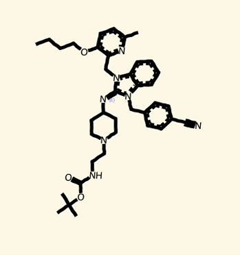 CCCCOc1ccc(C)nc1Cn1/c(=N/C2CCN(CCNC(=O)OC(C)(C)C)CC2)n(Cc2ccc(C#N)cc2)c2ccccc21